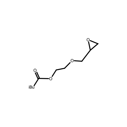 CCC(C)C(=O)OCCOCC1CO1